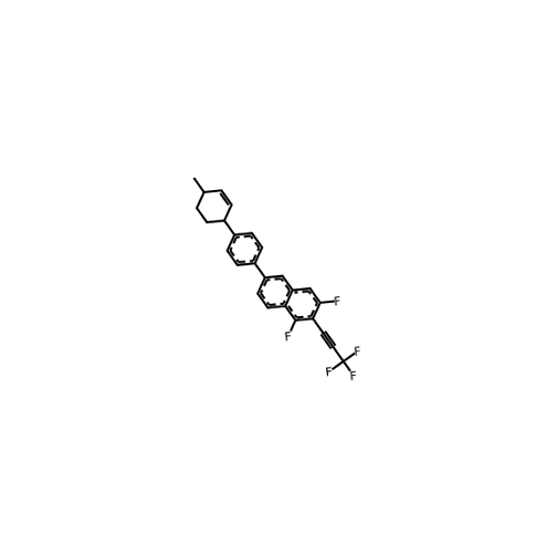 CC1C=CC(c2ccc(-c3ccc4c(F)c(C#CC(F)(F)F)c(F)cc4c3)cc2)CC1